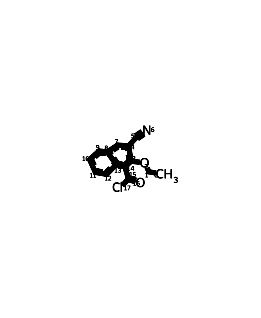 CCOc1c(C#N)cc2ccccc2c1C(=O)Cl